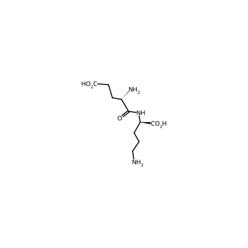 NCCC[C@@H](NC(=O)[C@@H](N)CCC(=O)O)C(=O)O